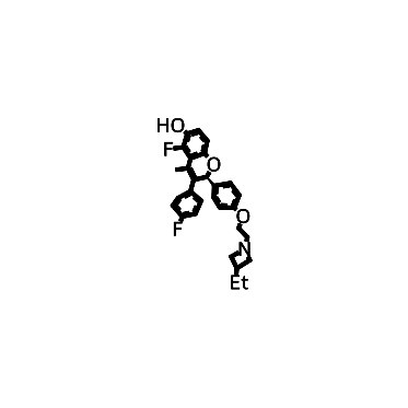 CCC1CN(CCOc2ccc([C@@H]3Oc4ccc(O)c(F)c4C(C)=C3c3ccc(F)cc3)cc2)C1